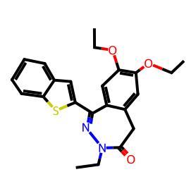 CCOc1cc2c(cc1OCC)C(c1cc3ccccc3s1)=NN(CC)C(=O)C2